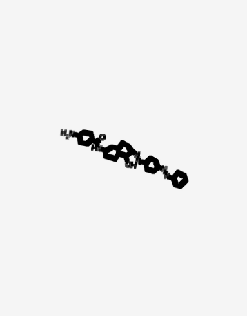 Nc1ccc(C(=O)Nc2ccc3c(O)c(N=Nc4ccc(N=Nc5ccccc5)cc4)ccc3c2)cc1